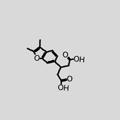 Cc1oc2cc(C(CC(=O)O)CC(=O)O)ccc2c1C